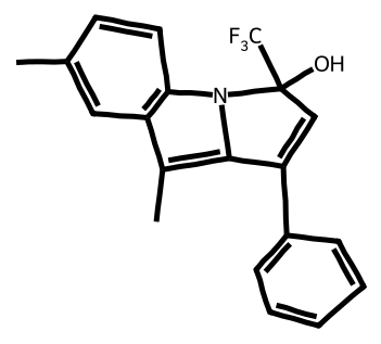 Cc1ccc2c(c1)c(C)c1n2C(O)(C(F)(F)F)C=C1c1ccccc1